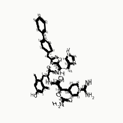 Cc1cc(O)cc(C)c1C[C@H](NC(=O)[C@H](OC(N)=O)C1CCN(C(=N)N)CC1)C(=O)N[C@@H](Cc1c[nH]cn1)c1nc(Cc2ccc(-c3ccccc3)cc2)no1